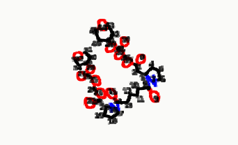 O=C(C[C@H]1CCCN1C(=O)CCCCC(=O)N1CCC[C@@H]1C(=O)OCOC(=O)OC1CCOCC1)OCOC(=O)OC1CCOCC1